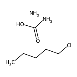 CCCCCCl.N.NC(=O)O